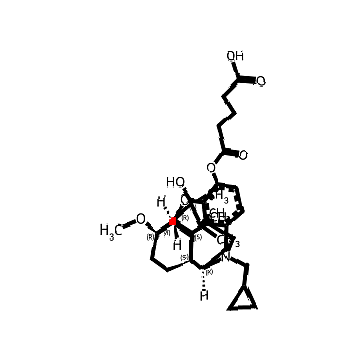 CO[C@]12CC[C@@]3(C[C@@H]1[C@](C)(O)C(C)(C)C)[C@H]1Cc4ccc(OC(=O)CCCC(=O)O)c5c4[C@@]3(CCN1CC1CC1)[C@H]2O5